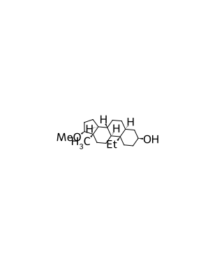 CC[C@]12CC[C@H](O)C[C@@H]1CC[C@H]1[C@@H]3CC[C@H](OC)[C@@]3(C)CC[C@@H]12